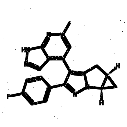 Cc1cc(-c2c(-c3ccc(F)cc3)nn3c2C[C@H]2C[C@H]23)c2cn[nH]c2n1